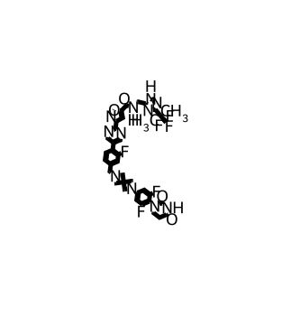 CC(C)(c1n[nH]c(CNC(=O)c2cc(-c3ncc(-c4ccc(CN5CC6(C5)CN(c5cc(F)c(N7CCC(=O)NC7=O)c(F)c5)C6)cc4F)cn3)no2)n1)C(F)(F)F